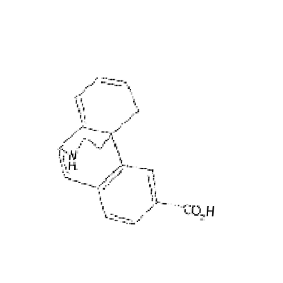 O=C(O)c1ccc2c(c1)C13CC=CC=C1C(=C2)NCC3